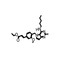 CCCCCNc1nc(C)nc2ccn(Cc3ccc(/C=C/C(=O)OCC)cc3OC)c12